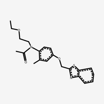 CCOCCN(C(C)=O)c1ccc(OCc2nc3ccccc3s2)cc1C